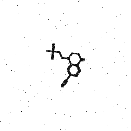 CS(=O)(=O)CCN1CCNc2ccc(C#N)cc21